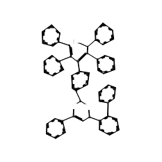 C1=C(c2ccccc2)NC(c2ccc(C3=C(c4ccccc4)C(c4ccccc4)NC(c4ccccc4)=C3c3ccccc3)cc2)NC1c1ccccc1-c1ccccc1